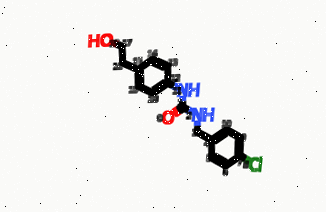 O=C(NCc1ccc(Cl)cc1)Nc1ccc(CCO)cc1